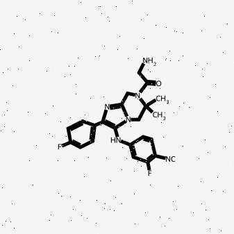 [C-]#[N+]c1ccc(Nc2c(-c3ccc(F)cc3)nc3n2CC(C)(C)N(C(=O)CN)C3)cc1F